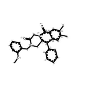 COc1ccccc1CN1Cc2c(-c3ccccc3)c3cc(C)c(C)cc3c(=O)n2CC1=O